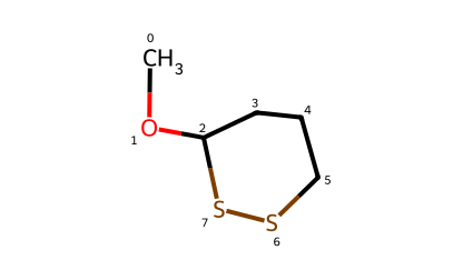 COC1CCCSS1